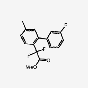 COC(=O)C(F)(F)c1ccc(C)cc1-c1cccc(F)c1